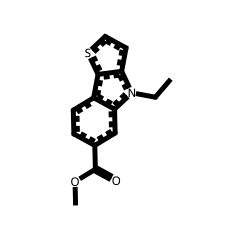 CCn1c2cc(C(=O)OC)ccc2c2sccc21